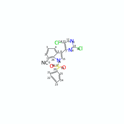 N#Cc1cccc2c(-c3nc(Cl)ncc3Cl)cn(S(=O)(=O)c3ccccc3)c12